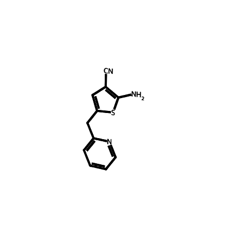 N#Cc1cc(Cc2ccccn2)sc1N